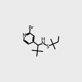 CCC(C)(C)SNC(c1ccnc(Br)c1)C(C)(C)C